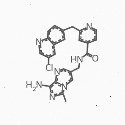 Cc1nc(N)c2ncc(CNC(=O)c3ccnc(Cc4ccc5ncc(Cl)cc5c4)c3)cn12